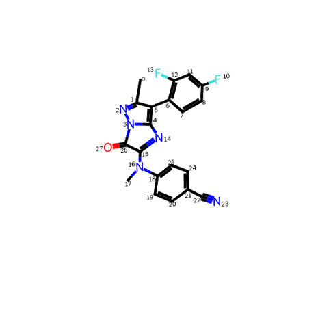 Cc1nn2c(c1-c1ccc(F)cc1F)N=C(N(C)c1ccc(C#N)cc1)C2=O